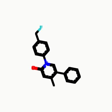 Cc1cc(=O)n(-c2ccc(CF)cc2)cc1-c1ccccc1